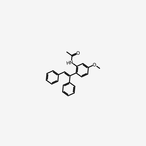 COc1ccc(C(=Cc2ccccc2)c2ccccc2)c(NC(C)=O)c1